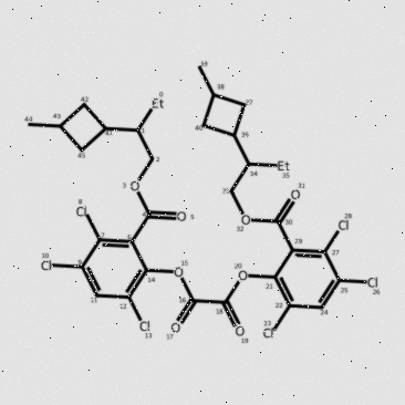 CCC(COC(=O)c1c(Cl)c(Cl)cc(Cl)c1OC(=O)C(=O)Oc1c(Cl)cc(Cl)c(Cl)c1C(=O)OCC(CC)C1CC(C)C1)C1CC(C)C1